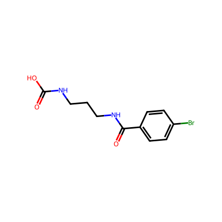 O=C(O)NCCCNC(=O)c1ccc(Br)cc1